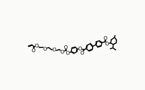 C=CC(=O)OCCOCCOCCOC(=O)Oc1ccc(OC(=O)c2ccc(-c3ccc(C(=O)OC4CC(C)CCC4C(C)C)cc3)cc2)cc1